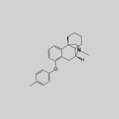 Cc1ccc(Oc2cccc3c2C[C@@H]2[C@@H]4CCCC[C@]34CCN2C)cc1